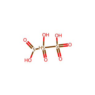 O=S(O)[SH](=O)(O)S(=O)(=O)O